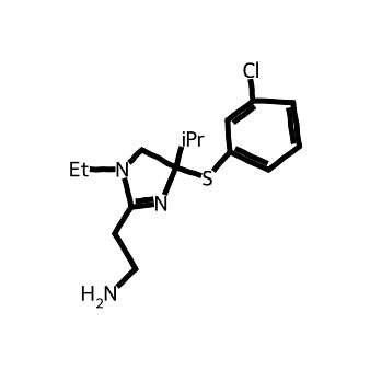 CCN1CC(Sc2cccc(Cl)c2)(C(C)C)N=C1CCN